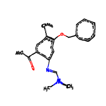 COC(=O)c1cc(OC)c(OCc2ccccc2)cc1N=CN(C)C